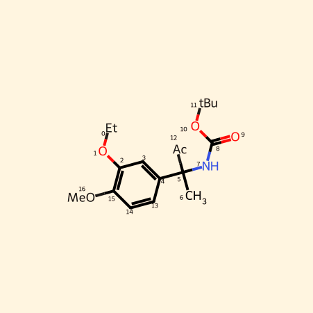 CCOc1cc(C(C)(NC(=O)OC(C)(C)C)C(C)=O)ccc1OC